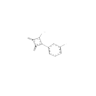 COc1c(-c2cccc(N)c2)c(=O)c1=O